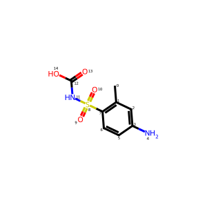 Cc1cc(N)ccc1S(=O)(=O)NC(=O)O